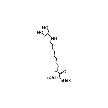 CCCCCCCCC(CCCCCC)C(=O)OCCCCCCCCNC(CO)CO